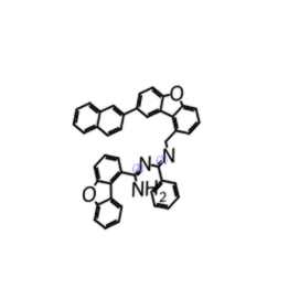 N/C(=N\C(=N/Cc1cccc2oc3ccc(-c4ccc5ccccc5c4)cc3c12)c1ccccc1)c1cccc2oc3ccccc3c12